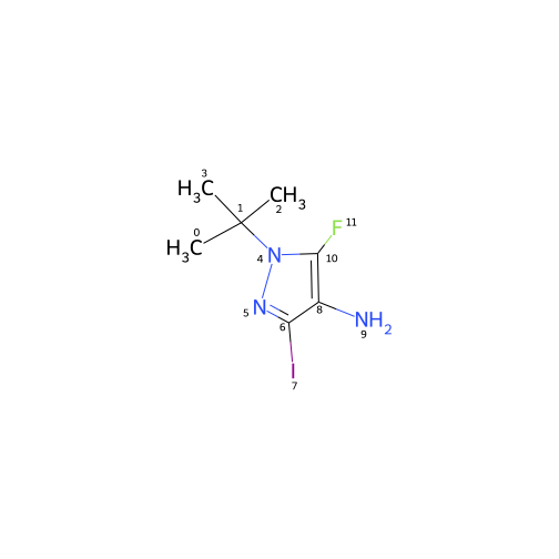 CC(C)(C)n1nc(I)c(N)c1F